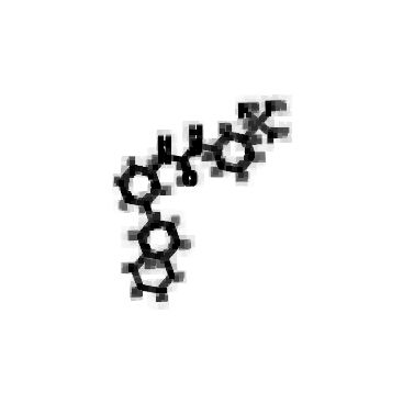 O=C(Nc1cccc(-c2ccc3c(c2)CC[CH]C3)c1)Nc1cccc(C(F)(F)F)c1